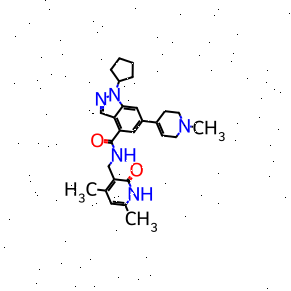 Cc1cc(C)c(CNC(=O)c2cc(C3=CCN(C)CC3)cc3c2cnn3C2CCCC2)c(=O)[nH]1